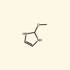 COC1N[C]=CN1